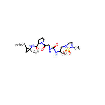 CCCCCCCC1C[C@]1(NC(=O)C1CCCN1C(=O)CNC(=O)NC(CN1CCN(C)S1(=O)=O)C(C)(C)C)C(=O)O